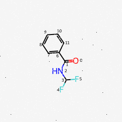 O=C(NC(F)F)c1ccccc1